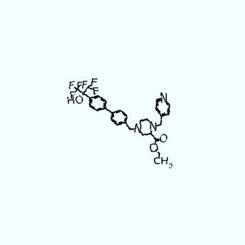 CCOC(=O)C1CN(Cc2ccc(-c3ccc(C(O)(C(F)(F)F)C(F)(F)F)cc3)cc2)CCN1Cc1ccncc1